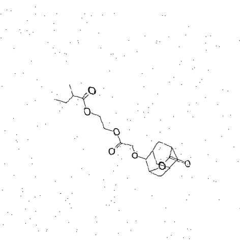 CCC(C)C(=O)OCCOC(=O)COC1C2CC3CC(C2)C(=O)OC1C3